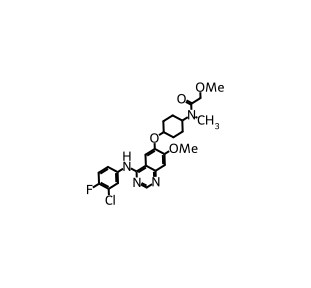 COCC(=O)N(C)C1CCC(Oc2cc3c(Nc4ccc(F)c(Cl)c4)ncnc3cc2OC)CC1